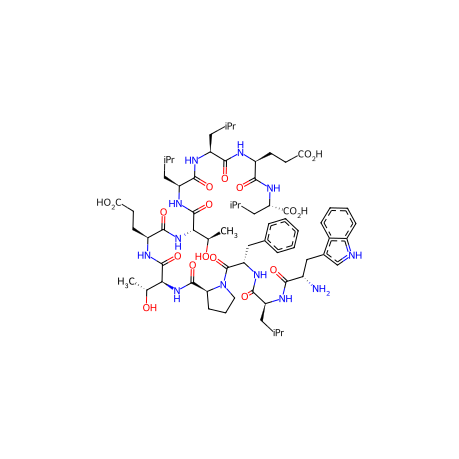 CC(C)C[C@H](NC(=O)[C@H](CCC(=O)O)NC(=O)[C@H](CC(C)C)NC(=O)[C@H](CC(C)C)NC(=O)[C@@H](NC(=O)[C@H](CCC(=O)O)NC(=O)[C@@H](NC(=O)[C@@H]1CCCN1C(=O)[C@H](Cc1ccccc1)NC(=O)[C@H](CC(C)C)NC(=O)[C@@H](N)Cc1c[nH]c2ccccc12)[C@@H](C)O)[C@@H](C)O)C(=O)O